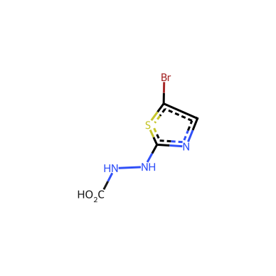 O=C(O)NNc1ncc(Br)s1